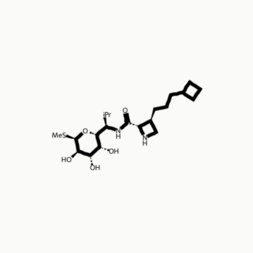 CS[C@H]1O[C@H]([C@H](NC(=O)[C@H]2NC[C@@H]2CCCC2CCC2)C(C)C)[C@H](O)[C@H](O)[C@H]1O